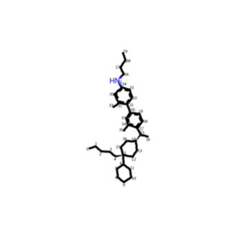 CCCCC[C@]1(C2CCCCC2)CC[C@H](C(C)c2ccc(-c3ccc(NCCCC)cc3C)cc2C)CC1